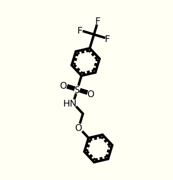 O=S(=O)(NCOc1ccccc1)c1ccc(C(F)(F)F)cc1